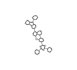 c1ccc(-c2nc(-c3ccccc3)nc(-c3ccc4c(c3)Oc3ccc(-c5ccc6c(c5)c5ccccc5n6-c5ccccc5)c5cccc-4c35)n2)cc1